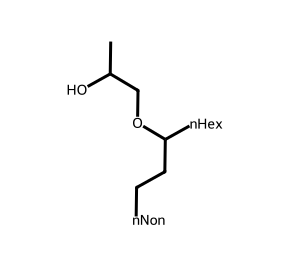 [CH2]CCCCCCCCCCC(CCCCCC)OCC(C)O